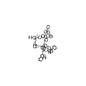 CC[C@H]1OC(=O)[C@H](C)[C@@H](O[C@H]2C[C@@](C)(OC)[C@@H](OC(=O)c3ccccc3)[C@H](C)O2)[C@H](C)[C@@H](O[C@@H]2O[C@H](C)C[C@H](N(C)C)[C@H]2OC(=O)c2ccccc2)[C@](C)(OC/C=C/c2cnc3ccccc3c2)C[C@@H](C)C(=O)/C(C)=C/[C@]1(C)O